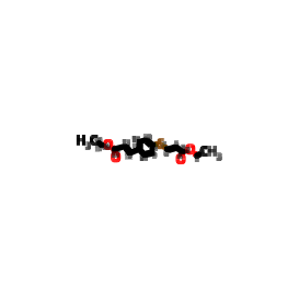 CCOC(=O)C=CSc1ccc(C=CC(=O)OCC)cc1